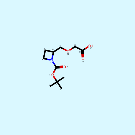 CC(C)(C)OC(=O)N1CCC1COCC(=O)O